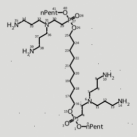 CCCCCOP(=O)(CCN(CCCN)CCCN)OCCCCCCCCCCOP(=O)(CCN(CCCN)CCCN)OCCCCC